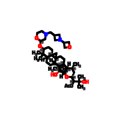 CC(=O)O[C@@H]([C@H]1C[C@@H](C)[C@H]2[C@H](O1)[C@H](O)[C@@]1(C)[C@@H]3CC[C@H]4C(C)(C)[C@@H](O[C@H]5CN(CC6CN(C7COC7)C6)CCO5)CC[C@@]45C[C@@]35CC[C@]21C)C(C)(C)O